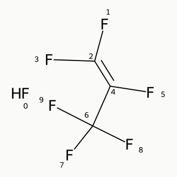 F.FC(F)=C(F)C(F)(F)F